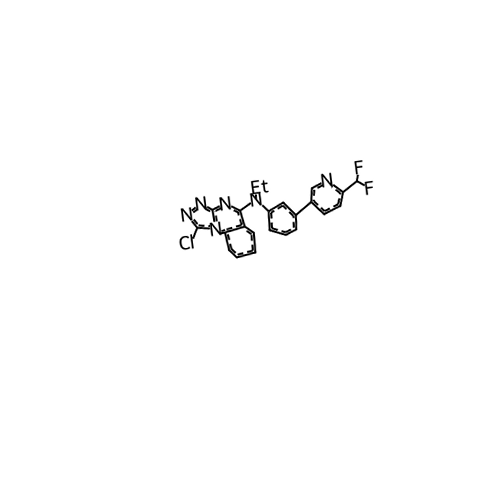 CCN(c1cccc(-c2ccc(C(F)F)nc2)c1)c1nc2nnc(Cl)n2c2ccccc12